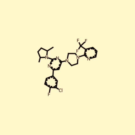 CC1CCC(C)N1c1nc(-c2ccc(F)c(Cl)c2)cc(N2CCN(c3ncccc3C(F)(F)F)CC2)n1